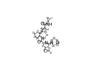 Cc1cc(C(=O)N2CCc3cc(C(=O)NC4CC4)sc3-c3ccccc32)nc(N2CCCOCC2)c1